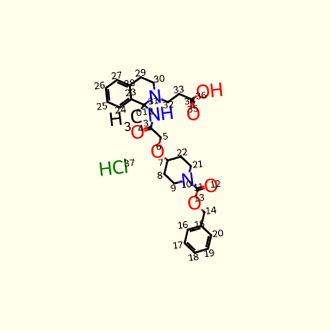 CC1(NC(=O)COC2CCN(C(=O)OCc3ccccc3)CC2)c2ccccc2CCN1CCC(=O)O.Cl